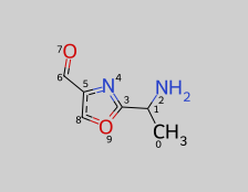 CC(N)c1nc(C=O)co1